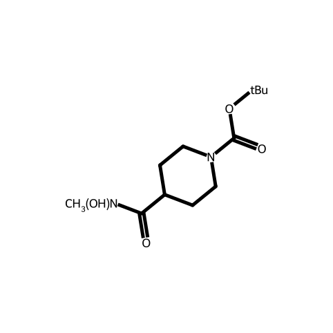 CN(O)C(=O)C1CCN(C(=O)OC(C)(C)C)CC1